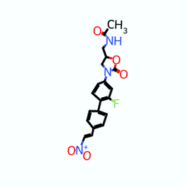 CC(=O)NCC1CN(c2ccc(-c3ccc(C=C[N+](=O)[O-])cc3)c(F)c2)C(=O)O1